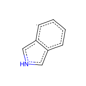 [c]1cccc2c[nH]cc12